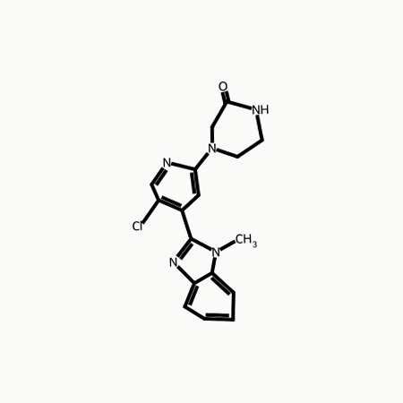 Cn1c(-c2cc(N3CCNC(=O)C3)ncc2Cl)nc2ccccc21